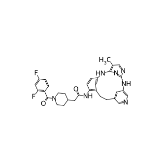 Cc1cnc2nc1Nc1ccc(NC(=O)CC3CCN(C(=O)c4ccc(F)cc4F)CC3)c(c1)CCc1cncc(c1)N2